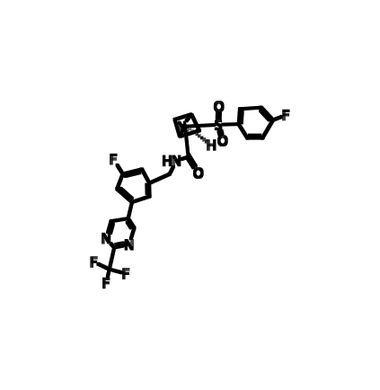 O=C(NCc1cc(F)cc(-c2cnc(C(F)(F)F)nc2)c1)[C@@H]1C2CC(C2)N1S(=O)(=O)c1ccc(F)cc1